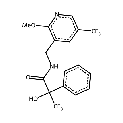 COc1ncc(C(F)(F)F)cc1CNC(=O)C(O)(c1ccccc1)C(F)(F)F